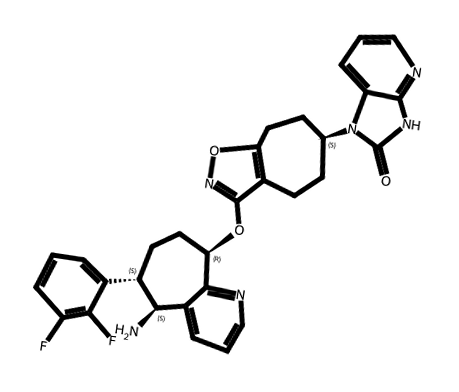 N[C@@H]1c2cccnc2[C@H](Oc2noc3c2CC[C@H](n2c(=O)[nH]c4ncccc42)CC3)CC[C@H]1c1cccc(F)c1F